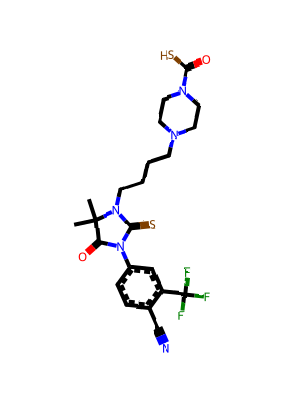 CC1(C)C(=O)N(c2ccc(C#N)c(C(F)(F)F)c2)C(=S)N1CCCCN1CCN(C(=O)S)CC1